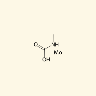 CNC(=O)O.[Mo]